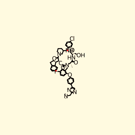 C[C@H]1C(=O)N[C@@H](CO)C(=O)N[C@@]2(Cc3ccc(Cl)cc3)CCCN(C2)C(=O)[C@H]([C@@H]2CCc3ccccc32)CC(=O)N1Cc1cc(F)ccc1Oc1ccc(-c2cnc(CN(C)C)n2C)cc1